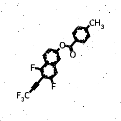 Cc1ccc(C(=O)Oc2ccc3c(F)c(C#CC(F)(F)F)c(F)cc3c2)cc1